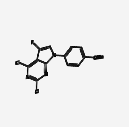 COc1ccc(-n2cc(F)c3c(Cl)nc(Cl)nc32)cc1